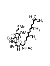 CC[C@H](C)[C@H](NC(=O)[C@@H](NC(=O)[C@H](CSC/C=C(\C)CC/C=C(\C)CCC=C(C)C)NC(C)=O)C(C)C)C(=O)N[C@H](CCSC)C(=O)OC